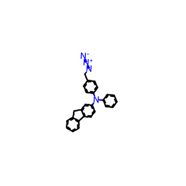 [N-]=[N+]=NCc1ccc(N(c2ccccc2)c2ccc3c(c2)Cc2ccccc2-3)cc1